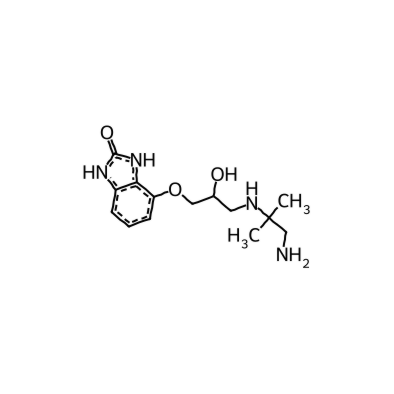 CC(C)(CN)NCC(O)COc1cccc2[nH]c(=O)[nH]c12